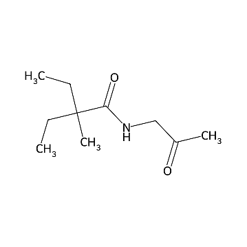 CCC(C)(CC)C(=O)NCC(C)=O